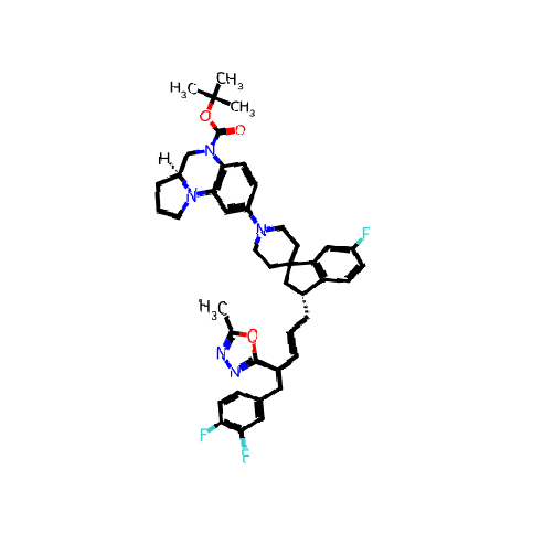 Cc1nnc(C(C=CC[C@@H]2CC3(CCN(c4ccc5c(c4)N4CCC[C@H]4CN5C(=O)OC(C)(C)C)CC3)c3cc(F)ccc32)Cc2ccc(F)c(F)c2)o1